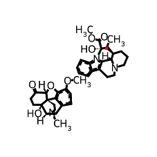 CC[C@]12CCCN3CCc4c(n(c5ccccc45)[C@@](O)(C(=O)OC)C1)[C@@H]32.COc1ccc2c3c1O[C@H]1C(=O)CC[C@@]4(O)[C@@H](C2)N(C)CC[C@]314